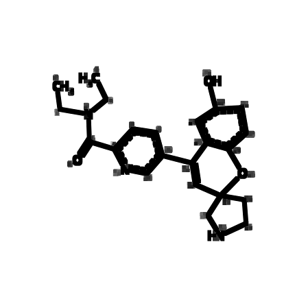 CCN(CC)C(=O)c1ccc(C2=CC3(CCNC3)Oc3ccc(O)cc32)cn1